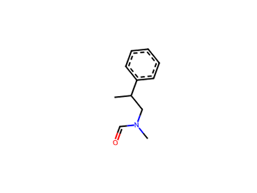 CC(CN(C)C=O)c1ccccc1